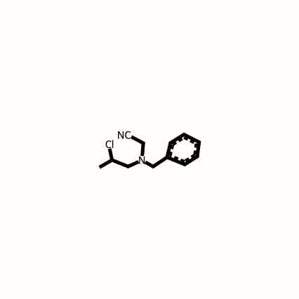 CC(Cl)CN(CC#N)Cc1ccccc1